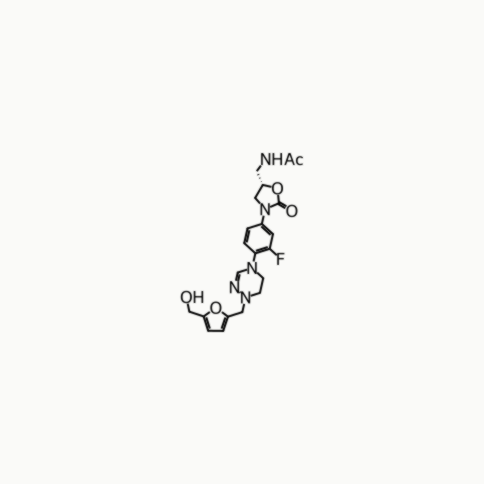 CC(=O)NC[C@H]1CN(c2ccc(N3C=NN(Cc4ccc(CO)o4)CC3)c(F)c2)C(=O)O1